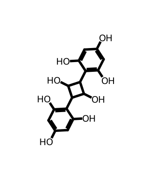 Oc1cc(O)c(C2C(O)C(c3c(O)cc(O)cc3O)C2O)c(O)c1